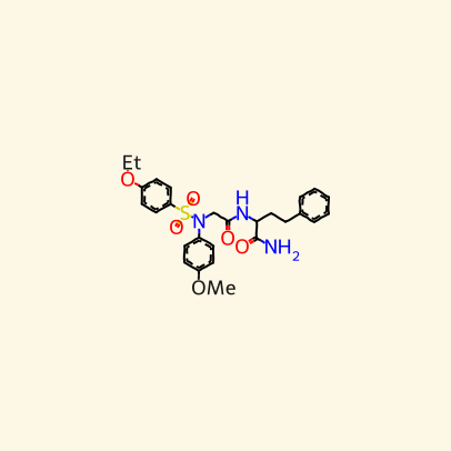 CCOc1ccc(S(=O)(=O)N(CC(=O)NC(CCc2ccccc2)C(N)=O)c2ccc(OC)cc2)cc1